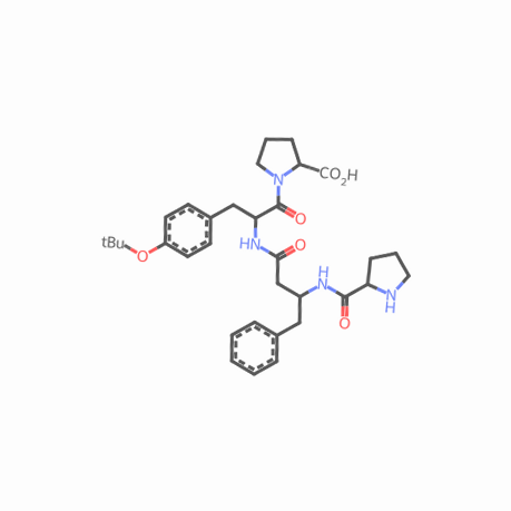 CC(C)(C)Oc1ccc(CC(NC(=O)CC(Cc2ccccc2)NC(=O)C2CCCN2)C(=O)N2CCCC2C(=O)O)cc1